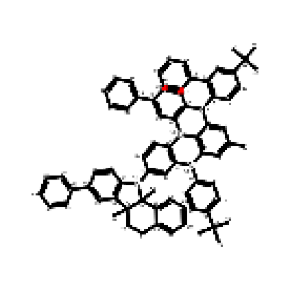 Cc1cc2c3c(c1)N(c1ccc(C(C)(C)C)cc1-c1ccccc1)c1ccc(-c4ccccc4)cc1B3c1ccc(N3c4ccc(-c5ccccc5)cc4C4(C)CCc5ccccc5C34C)cc1N2c1ccc(C(C)(C)C)cc1